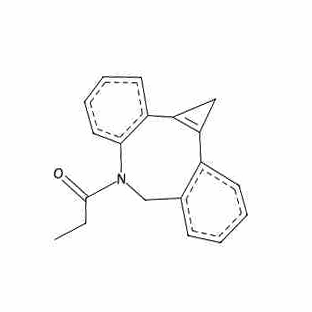 CCC(=O)N1Cc2ccccc2C2=C(C2)c2ccccc21